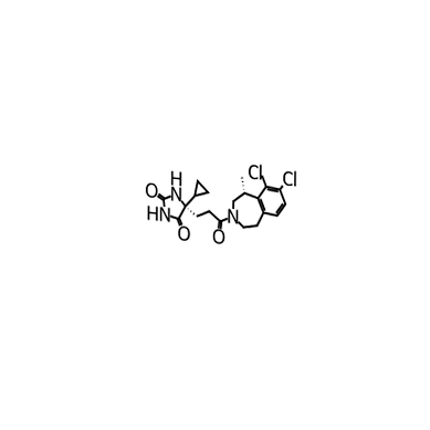 C[C@H]1CN(C(=O)CC[C@@]2(C3CC3)NC(=O)NC2=O)CCc2ccc(Cl)c(Cl)c21